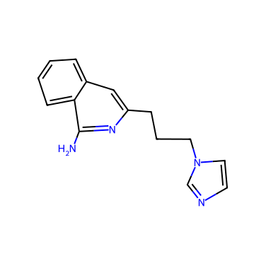 Nc1nc(CCCn2ccnc2)cc2ccccc12